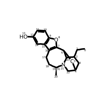 CCC1CC2CC3c4oc5ccc(O)cc5c4CC[C@H](C)N(C2)C13